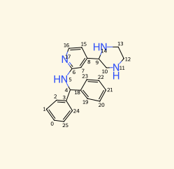 c1ccc(C(Nc2cc(C3CNCCN3)ccn2)c2ccccc2)cc1